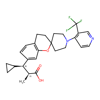 C[C@H](C(=O)O)[C@H](c1ccc2c(c1)OC1(CC2)CCN(c2ccncc2C(F)(F)F)CC1)C1CC1